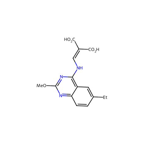 CCc1ccc2nc(OC)nc(NC=C(C(=O)O)C(=O)O)c2c1